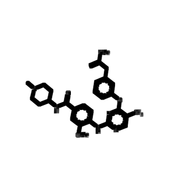 C=C(Cc1cccc(Oc2nc(Nc3ccc(C(=O)NC4CCN(C)CC4)cc3OC)ncc2C(F)(F)F)c1)NC